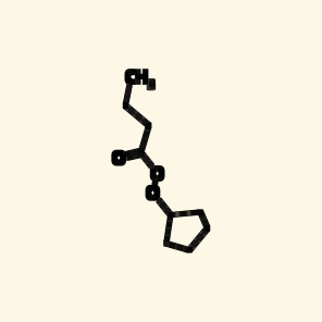 CCCC(=O)OOC1CCCC1